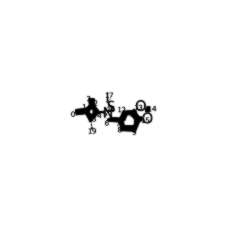 C=C1C(=C)[C@@H](N(Cc2ccc3c(c2)OCO3)SI)[C@@H]1C